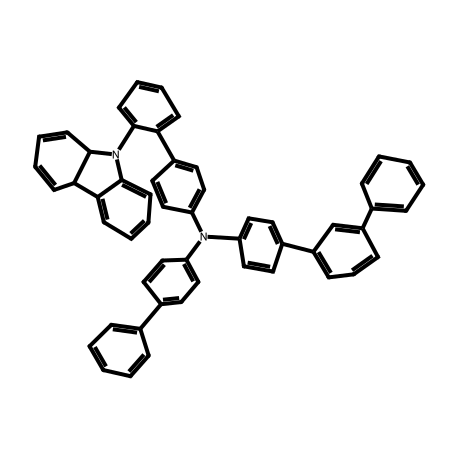 C1=CC2c3ccccc3N(c3ccccc3-c3ccc(N(c4ccc(-c5ccccc5)cc4)c4ccc(-c5cccc(-c6ccccc6)c5)cc4)cc3)C2C=C1